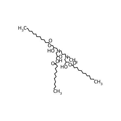 CCCCCCCCCCCC(=O)OCC(O)CN(CCCN(CC)CC(CO)COC(=O)CCCCCCCCCCC)CC(O)COC(=O)CCCCCCCCCCC